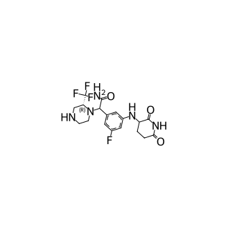 NC(=O)C(c1cc(F)cc(NC2CCC(=O)NC2=O)c1)N1CCNC[C@@H]1C(F)(F)F